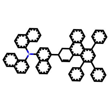 C1=CC(c2ccc(N(c3cccc4ccccc34)c3cccc4ccccc34)c3ccccc23)Cc2c1c1c(-c3ccccc3)c(-c3ccccc3)cc(-c3ccccc3)c1c1ccccc21